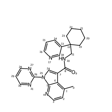 Cc1ccnc2c1c(C(=O)NCC1(c3cccnc3)CCCCC1)cn2-c1ncccn1